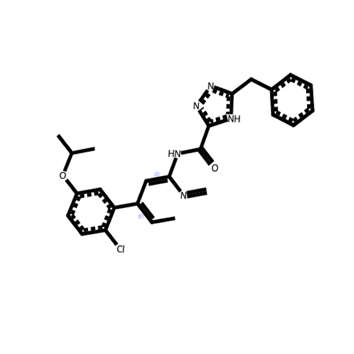 C=N/C(=C\C(=C/C)c1cc(OC(C)C)ccc1Cl)NC(=O)c1nnc(Cc2ccccc2)[nH]1